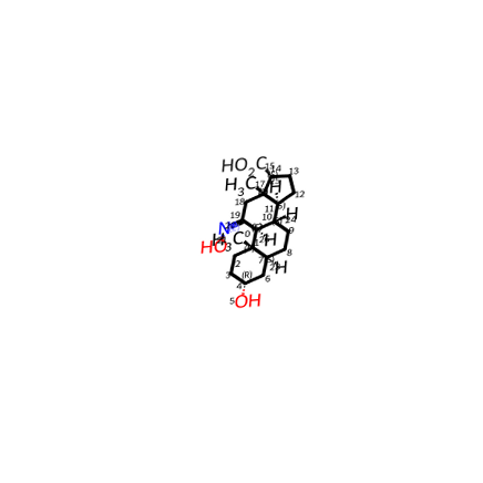 C[C@]12CC[C@@H](O)C[C@@H]1CC[C@H]1[C@@H]3CC[C@H](C(=O)O)[C@@]3(C)C/C(=N/O)[C@@H]12